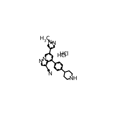 Cl.Cl.Cn1cc(-c2cc(-c3ccc(C4CCNCC4)cc3)c3c(C#N)cnn3c2)cn1